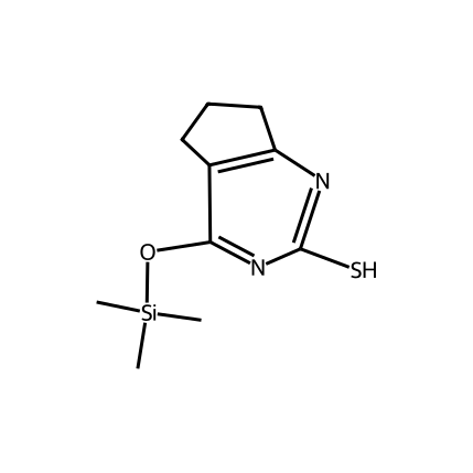 C[Si](C)(C)Oc1nc(S)nc2c1CCC2